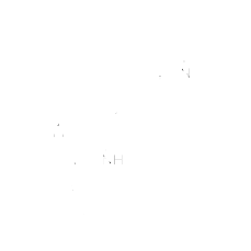 C=C(C)C(=O)NCC=CN(C)C